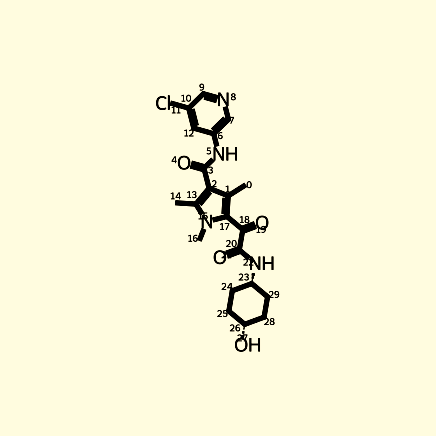 Cc1c(C(=O)Nc2cncc(Cl)c2)c(C)n(C)c1C(=O)C(=O)N[C@H]1CC[C@@H](O)CC1